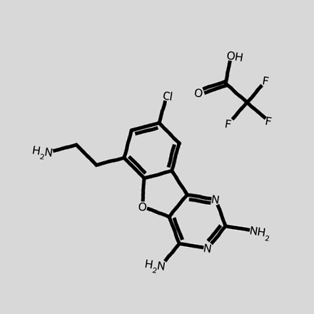 NCCc1cc(Cl)cc2c1oc1c(N)nc(N)nc12.O=C(O)C(F)(F)F